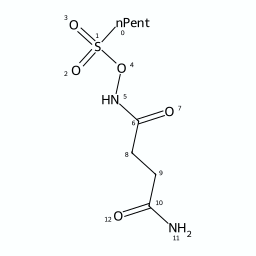 CCCCCS(=O)(=O)ONC(=O)CCC(N)=O